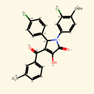 COc1ccc(N2C(=O)C(O)=C(C(=O)c3cccc([N+](=O)[O-])c3)C2c2ccc(Cl)cc2)cc1Cl